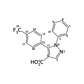 O=C(O)c1cnn(-c2ccccc2)c1-c1ccc(C(F)(F)F)cc1